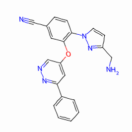 N#Cc1ccc(-n2ccc(CN)n2)c(Oc2cnnc(-c3ccccc3)c2)c1